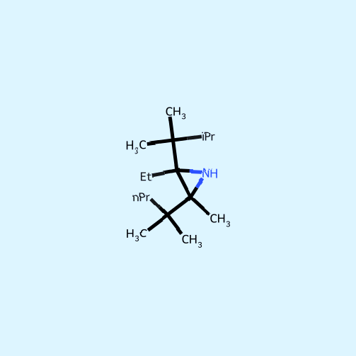 CCCC(C)(C)C1(C)NC1(CC)C(C)(C)C(C)C